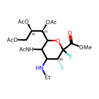 CCNC1C(NC(C)=O)C([C@H](OC(C)=O)[C@@H](COC(C)=O)OC(C)=O)OC(F)(C(=O)OC)[C@@H]1F